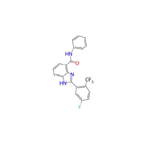 O=C(Nc1ccccc1)c1cccc2[nH]c(-c3cc(F)ccc3C(F)(F)F)nc12